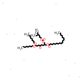 CCCCC/C=C\C/C=C\CCCCCCCC(=O)OCC(CCC(=O)CCC(OCCCCCCCC)OCCCCCCCC)COC(=O)OCCCC(CC)CC